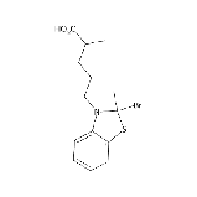 CC(CCCN1c2ccccc2SC1(C)Br)C(=O)O